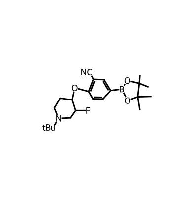 CC(C)(C)N1CCC(Oc2ccc(B3OC(C)(C)C(C)(C)O3)cc2C#N)C(F)C1